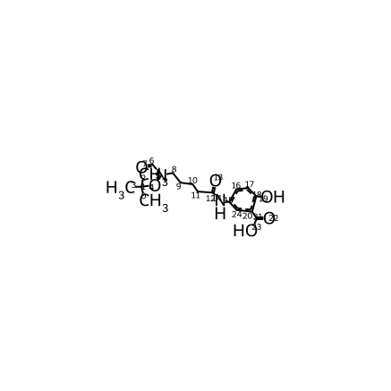 CC(C)(C)ON(C=O)CCCCC(=O)Nc1ccc(O)c(C(=O)O)c1